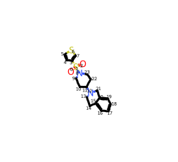 O=S(=O)(c1ccsc1)N1CCC(N2CCc3ccccc3C2)CC1